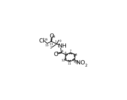 CC(C)(NC(=O)c1ccc([N+](=O)[O-])cc1)C(=O)CCl